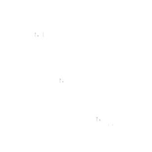 CCNCCCN1CCC(c2noc3ccccc23)CC1